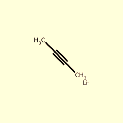 CC#CC.[Li]